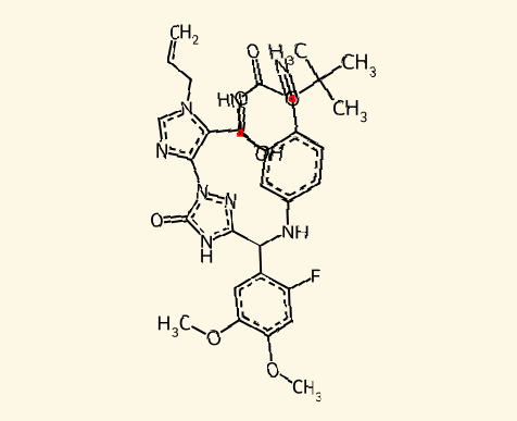 C=CCn1cnc(-n2nc(C(Nc3ccc(C#N)c(CNC(=O)OC(C)(C)C)c3)c3cc(OC)c(OC)cc3F)[nH]c2=O)c1C(=O)O